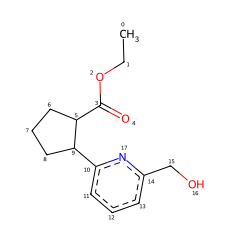 CCOC(=O)C1CCCC1c1cccc(CO)n1